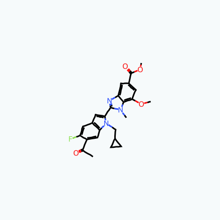 COC(=O)c1cc(OC)c2c(c1)nc(-c1cc3cc(F)c(C(C)=O)cc3n1CC1CC1)n2C